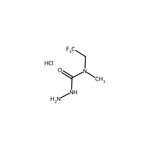 CN(CC(F)(F)F)C(=O)NN.Cl